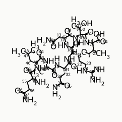 CC[C@H](C)[C@H](NC(=O)[C@@H](NC(=O)[C@H](CC(N)=O)NC(=O)[C@H](CCCNC(=N)N)NC(=O)[C@H](CCC(N)=O)NC(=O)[C@H](C)NC(=O)[C@H](CC(C)C)NC(=O)[C@@H](N)CCC(N)=O)[C@@H](C)O)C(=O)O